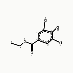 CCOC(=O)c1cc(Cl)c(Cl)c(Cl)c1